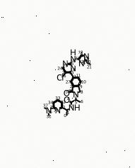 CC(NC(=O)C(C)N1Cc2ccc(-c3nc(Nc4cnn(C)n4)ncc3Cl)cc2C1=O)c1cccc(N(C)C)n1